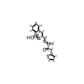 O=C(Cc1cccs1)N/N=C/C=C/c1ccccc1[N+](=O)O